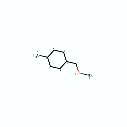 CC(C)(C)OCC1CCC(C(F)(F)F)CC1